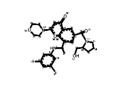 CC(Nc1cc(F)cc(F)c1)c1cc(C(=O)N2CCCC2CO)cc2c(=O)cc(N3CCOCC3)oc12